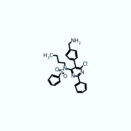 CCCCN(c1nc(-c2ccccc2)nc(Cl)c1-c1ccc(CN)cc1)S(=O)(=O)c1ccccc1